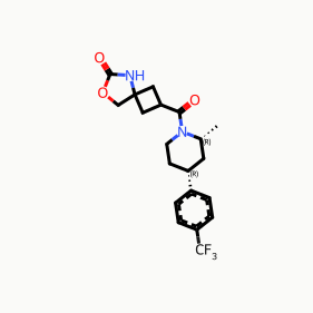 C[C@@H]1C[C@H](c2ccc(C(F)(F)F)cc2)CCN1C(=O)C1CC2(COC(=O)N2)C1